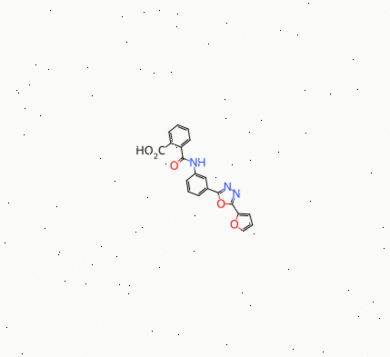 O=C(O)c1ccccc1C(=O)Nc1cccc(-c2nnc(-c3ccco3)o2)c1